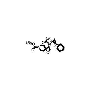 CC(C)(C)OC(=O)N1CCC2(CC1)OCC2N(C(=O)C(F)(F)F)[C@@H]1C[C@H]1c1ccccc1